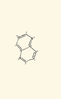 [c]1ccnc2cncnc12